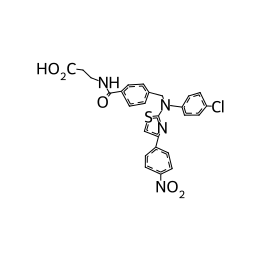 O=C(O)CCNC(=O)c1ccc(CN(c2ccc(Cl)cc2)c2nc(-c3ccc([N+](=O)[O-])cc3)cs2)cc1